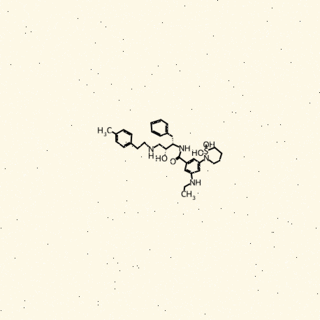 CCNc1cc(C(=O)N[C@@H](Cc2ccccc2)[C@H](O)CNCCc2ccc(C)cc2)cc(N2CCCCS2(O)O)c1